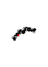 C=C(C)C(=O)OC(C)c1ccc(N(C)C(=O)N(C)c2cccc(N(C)C(=O)N(C)c3ccc(C(C)OC(=O)C(=C)C)cc3)c2)cc1